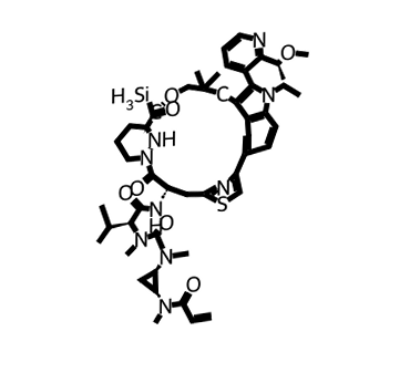 C=CC(=O)N(C)[C@@H]1C[C@H]1N(C)C(=O)N(C)[C@H](C(=O)N[C@H]1Cc2nc(cs2)-c2ccc3c(c2)c(c(-c2cccnc2[C@H](C)OC)n3CC)CC(C)(C)COC[C@]2(C(=O)[SiH3])CCCN(N2)C1=O)C(C)C